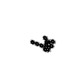 CC1(C)c2ccccc2-c2c(N(c3ccc(-c4ccc(-c5ccccc5)cc4)cc3)c3ccc4c(c3)cc(-c3ccccc3)n3nc(-c5ccccc5)c(-c5ccccc5)c43)cccc21